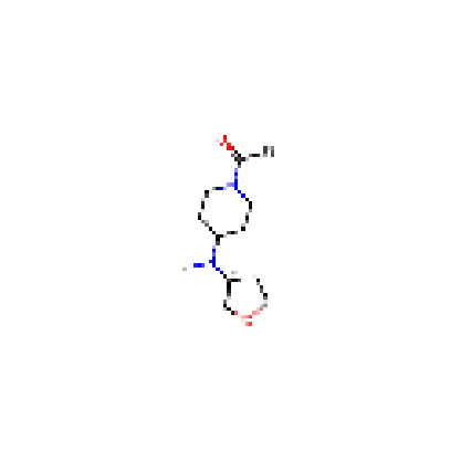 CCC(=O)N1CCC(N(C)[C@H]2CCOC2)CC1